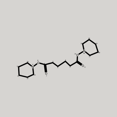 O=C(CCCCC(=O)ON1CCCCC1)ON1CCCCC1